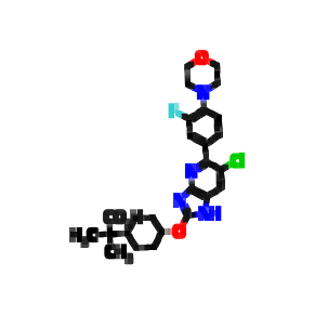 CC(C)(C(=O)O)[C@H]1CC[C@H](Oc2nc3nc(-c4ccc(N5CCOCC5)c(F)c4)c(Cl)cc3[nH]2)CC1